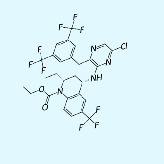 CCOC(=O)N1c2ccc(C(F)(F)F)cc2[C@@H](Nc2nc(Cl)cnc2Cc2cc(C(F)(F)F)cc(C(F)(F)F)c2)C[C@H]1CC